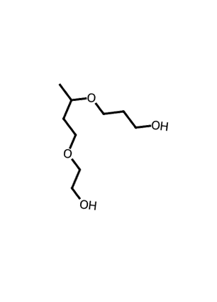 CC(CCOCCO)OCCCO